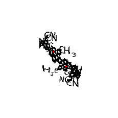 Cc1ccc(C2(c3ccc(C)cc3)c3cc4c(cc3-c3ccc5cc(-c6ccc(-c7ccc(C=C(C#N)C#N)c8nsnc78)s6)sc5c32)C(c2ccc(C)cc2)(c2ccc(C)cc2)c2c-4ccc3cc(-c4ccc(-c5ccc(C=C(C#N)C#N)c6nsnc56)s4)sc23)cc1